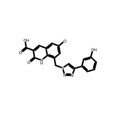 O=C(O)c1cc2cc(Cl)cc(Cn3cc(-c4cccc(O)c4)nn3)c2[nH]c1=O